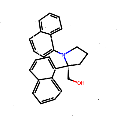 OC[C@]1(c2cccc3ccccc23)CCCN1c1cccc2ccccc12